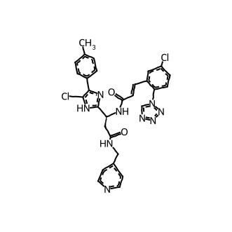 Cc1ccc(-c2nc([C@H](CC(=O)NCc3ccncc3)NC(=O)/C=C/c3cc(Cl)ccc3-n3cnnn3)[nH]c2Cl)cc1